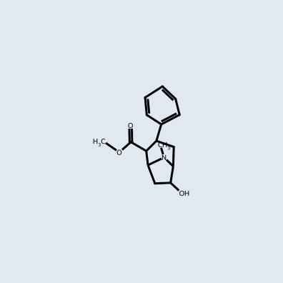 COC(=O)C1C(c2ccccc2)CC2C(O)CC1N2C